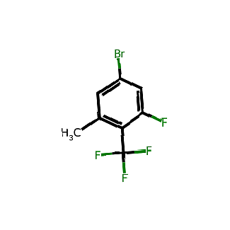 Cc1cc(Br)cc(F)c1C(F)(F)F